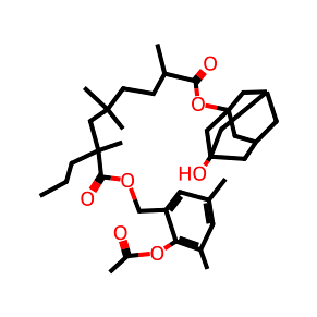 CCCC(C)(CC(C)(C)CCC(C)C(=O)OC12CC3CC(CC(O)(C3)C1)C2)C(=O)OCc1cc(C)cc(C)c1OC(C)=O